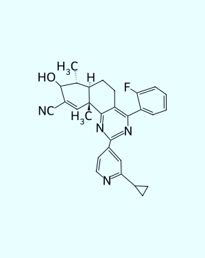 C[C@H]1C(O)C(C#N)=C[C@@]2(C)c3nc(-c4ccnc(C5CC5)c4)nc(-c4ccccc4F)c3CC[C@H]12